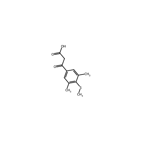 CSc1c(C)cc(C(=O)CC(=O)O)cc1C